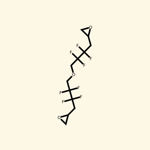 FC(F)(COCC(F)(F)C(F)(F)CC1CO1)C(F)(F)CC1CO1